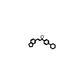 O=C(C=Cc1ccc2c(c1)CCC2)c1ccc(C2CCCCC2)cc1